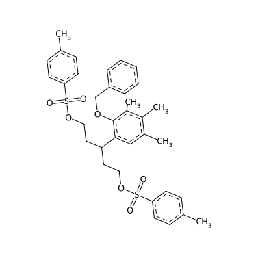 Cc1ccc(S(=O)(=O)OCCC(CCOS(=O)(=O)c2ccc(C)cc2)c2cc(C)c(C)c(C)c2OCc2ccccc2)cc1